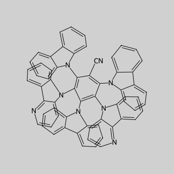 N#Cc1c(-n2c3ccccc3c3ccccc32)c(-n2c3ccccc3c3ncccc32)c(-n2c3ccccc3c3ccccc32)c(-n2c3ccccc3c3ncccc32)c1-n1c2ccccc2c2ccccc21